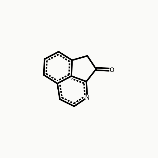 O=C1Cc2cccc3ccnc1c23